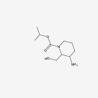 CC(C)OC(=O)N1CCCC(N)C1CO